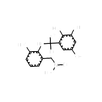 CCCC(CC)(Pc1c(C)cccc1CN(C)CC)c1cc(C)cc(C)c1O